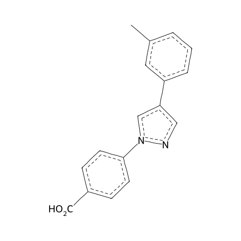 Cc1cccc(-c2cnn(-c3ccc(C(=O)O)cc3)c2)c1